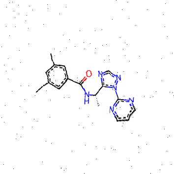 Cc1cc(C)cc(C(=O)N[C@@H](C)c2ncnn2-c2ncccn2)c1